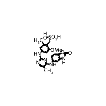 COc1cc(Nc2ncc(C)c(Nc3ccc4oc(=O)[nH]c4c3)n2)cc(C)c1F.O=S(=O)(O)O